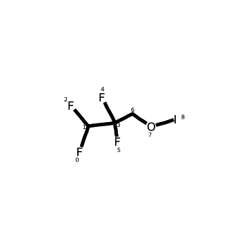 FC(F)C(F)(F)COI